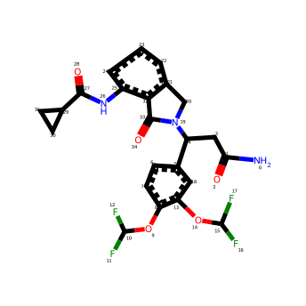 NC(=O)CC(c1ccc(OC(F)F)c(OC(F)F)c1)N1Cc2cccc(NC(=O)C3CC3)c2C1=O